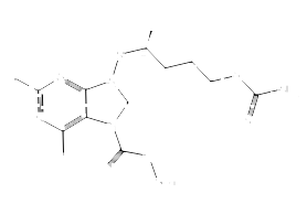 CCCCCOC(=O)N1CN(N[C@H](CCCNC(=N)N)C(=O)O)c2nc(Cl)nc(Cl)c21